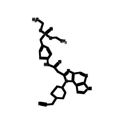 CCOP(=O)(Cc1ccc(NC(=O)Cc2nc3cnc4[nH]ccc4c3n2C2CCC(CC#N)CC2)cc1)OCC